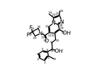 Cc1ccccc1[C@H](O)CCc1c(C(=O)N2CC(F)(F)C2)cn2c(C)c(C)nc2c1O